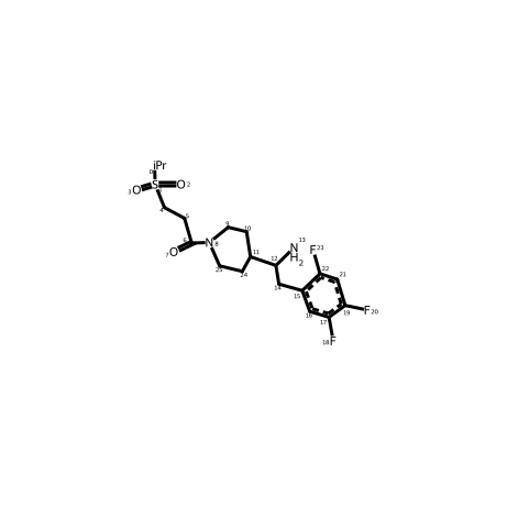 CC(C)S(=O)(=O)CCC(=O)N1CCC(C(N)Cc2cc(F)c(F)cc2F)CC1